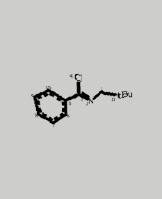 CC(C)(C)CN=C(Cl)c1ccccc1